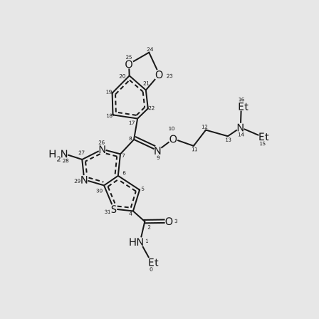 CCNC(=O)c1cc2c(C(=NOCCCN(CC)CC)c3ccc4c(c3)OCO4)nc(N)nc2s1